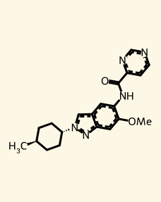 COc1cc2nn([C@H]3CC[C@H](C)CC3)cc2cc1NC(=O)c1ccncn1